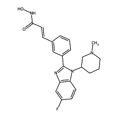 CN1CCCC(n2c(-c3cccc(/C=C/C(=O)NO)c3)nc3cc(F)ccc32)C1